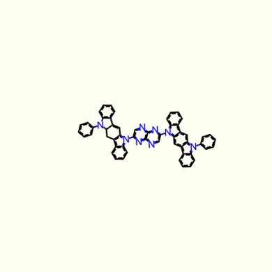 C1=C2c3ccccc3N(c3ccccc3)C2Cc2c1n(-c1cnc3nc(-n4c5ccccc5c5cc6c(cc54)c4ccccc4n6-c4ccccc4)cnc3n1)c1ccccc21